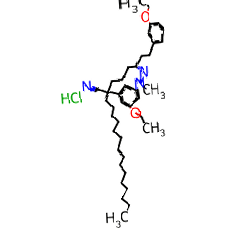 CCCCCCCCCCCCCCCC(C#N)(CCCC(CCc1cccc(OCC)c1)N=NC)c1cccc(OCC)c1.Cl